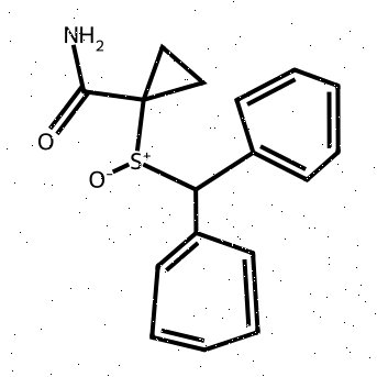 NC(=O)C1([S+]([O-])C(c2ccccc2)c2ccccc2)CC1